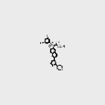 CCCCC(C(=O)O)N(c1ccc2cc(-c3ccnc(N4CCOCC4)n3)ccc2c1)S(=O)(=O)c1cc(Cl)cc(Cl)c1